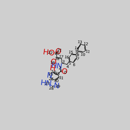 O=C(NC(Cc1ccc(-c2ccccc2)cc1)CC(O)C(=O)O)c1cnc2[nH]cnc2c1